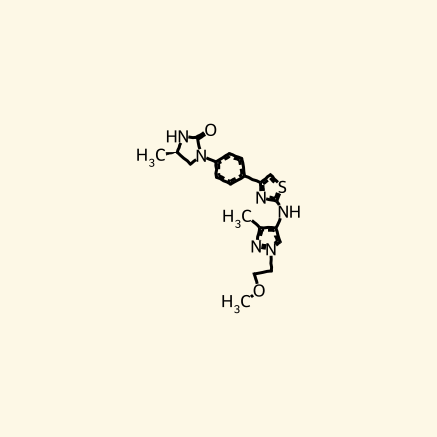 COCCn1cc(Nc2nc(-c3ccc(N4C[C@@H](C)NC4=O)cc3)cs2)c(C)n1